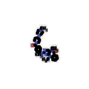 Cc1cc(C(=O)N2CCC(N3CCN(C)CC3)CC2)ccc1Nc1ncc2c(n1)N(C)c1ccccc1C(=O)N2C